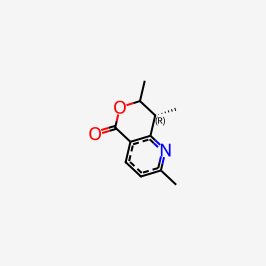 Cc1ccc2c(n1)[C@@H](C)C(C)OC2=O